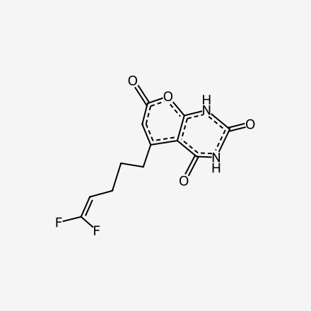 O=c1[nH]c(=O)c2c(CCCC=C(F)F)cc(=O)oc2[nH]1